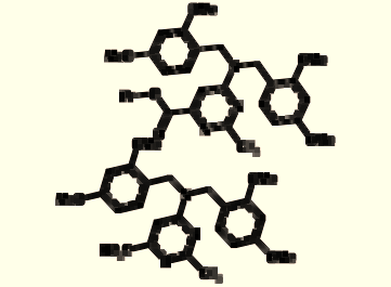 COc1ccc(CN(Cc2ccc(OC)cc2OC)c2cc(C(=O)O)nc(C)n2)c(OC)c1.COc1ccc(CN(Cc2ccc(OC)cc2OC)c2cc(C(=O)OC(C)C)nc(C)n2)c(OC)c1